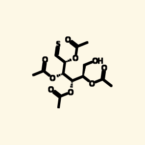 CC(=O)O[C@H]([C@H](OC(C)=O)[C@H](C=S)OC(C)=O)[C@@H](CO)OC(C)=O